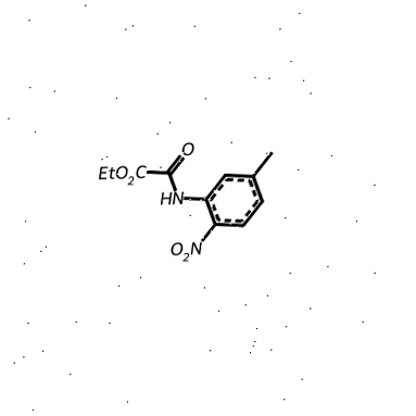 CCOC(=O)C(=O)Nc1cc(C)ccc1[N+](=O)[O-]